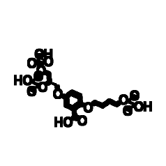 O=C(O)c1cc(OC[C@@H](COS(=O)(=O)O)OS(=O)(=O)O)ccc1OCCCCOS(=O)(=O)O